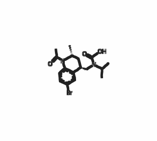 CC(=O)N1c2ccc(Br)cc2[C@@H](CN(C(=O)O)C(C)C)C[C@H]1C